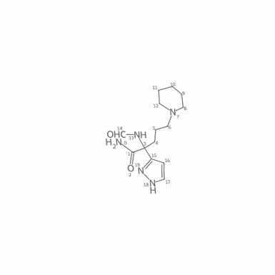 NC(=O)C(CCCN1CCCCC1)(NC=O)c1cc[nH]n1